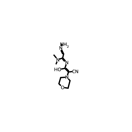 CN(C)C(C=NN)=NC(O)=C(C#N)N1CCOCC1